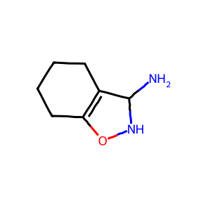 NC1NOC2=C1CCCC2